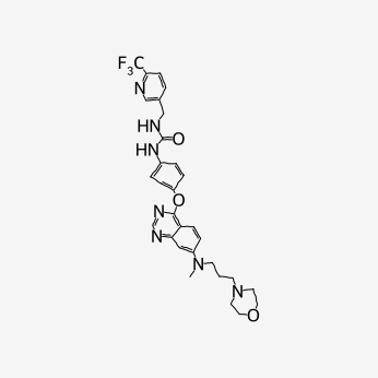 CN(CCCN1CCOCC1)c1ccc2c(Oc3ccc(NC(=O)NCc4ccc(C(F)(F)F)nc4)cc3)ncnc2c1